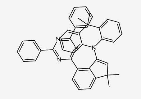 CC1(C)C=C(N2c3ccccc3C(C)(C)c3ccccc32)c2c(-c3nc(-c4ccccc4)nc(-c4ccccc4)n3)cccc21